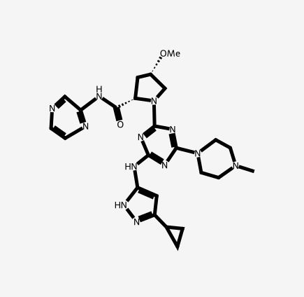 CO[C@H]1C[C@@H](C(=O)Nc2cnccn2)N(c2nc(Nc3cc(C4CC4)n[nH]3)nc(N3CCN(C)CC3)n2)C1